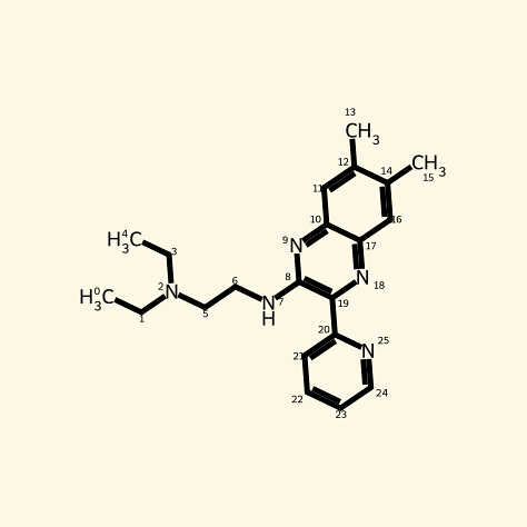 CCN(CC)CCNc1nc2cc(C)c(C)cc2nc1-c1ccccn1